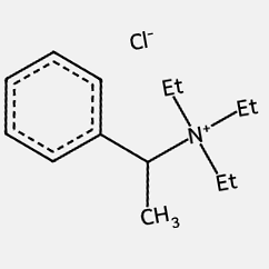 CC[N+](CC)(CC)C(C)c1ccccc1.[Cl-]